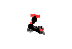 CCC(O)(CC)CCCC(C)(C)c1cccc(OCc2ccc(C(O)O)cc2)c1